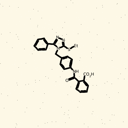 CCSc1nnc(-c2ccccc2)n1Cc1ccc(NC(=O)c2ccccc2C(=O)O)cc1